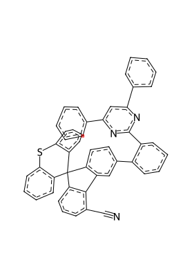 N#Cc1cccc2c1-c1cc(-c3ccccc3-c3nc(-c4ccccc4)cc(-c4ccccc4)n3)ccc1C21c2ccccc2Sc2ccccc21